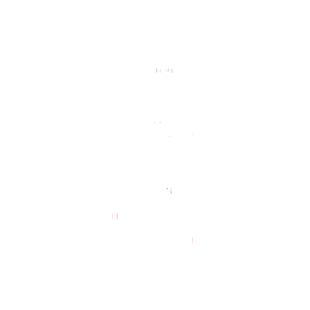 CCCCC(CC)COC(=O)CCN(CCO)CCO